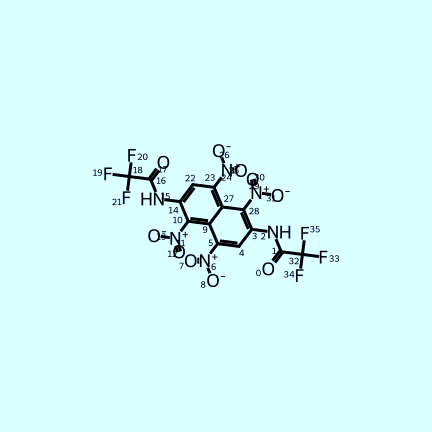 O=C(Nc1cc([N+](=O)[O-])c2c([N+](=O)[O-])c(NC(=O)C(F)(F)F)cc([N+](=O)[O-])c2c1[N+](=O)[O-])C(F)(F)F